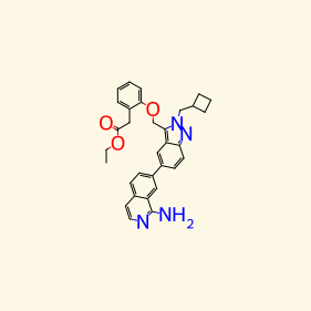 CCOC(=O)Cc1ccccc1OCc1c2cc(-c3ccc4ccnc(N)c4c3)ccc2nn1CC1CCC1